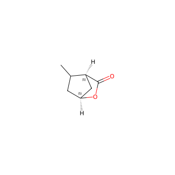 CC1C[C@H]2C[C@@H]1C(=O)O2